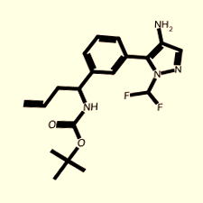 C=CCC(NC(=O)OC(C)(C)C)c1cccc(-c2c(N)cnn2C(F)F)c1